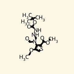 CCOc1csc(C(=O)OC)c1N(C=O)CNNC(=O)OC(C)(C)C